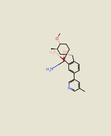 BC1(B)OC(N)=N[C@]12c1cc(-c3cncc(C)c3)ccc1C[C@]21CC[C@@H](OC)[C@H](C)C1